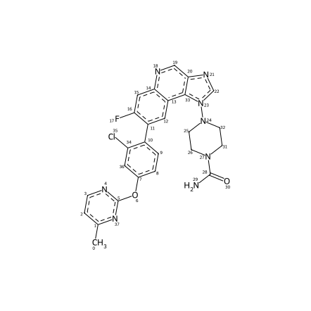 Cc1ccnc(Oc2ccc(-c3cc4c(cc3F)ncc3ncn(N5CCN(C(N)=O)CC5)c34)c(Cl)c2)n1